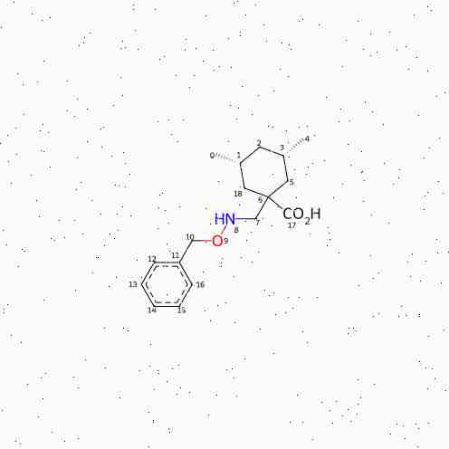 C[C@@H]1C[C@H](C)CC(CNOCc2ccccc2)(C(=O)O)C1